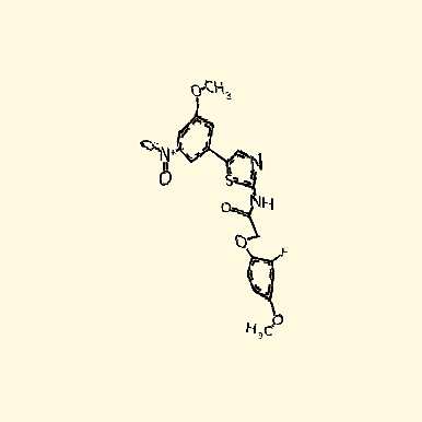 COc1cc(-c2cnc(NC(=O)COc3ccc(OC)cc3F)s2)cc([N+](=O)[O-])c1